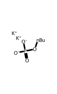 CCCCOP(=O)([O-])[O-].[K+].[K+]